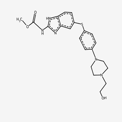 COC(=O)Nc1nc2cc(Sc3ccc(N4CCN(CCO)CC4)cc3)ccc2[nH]1